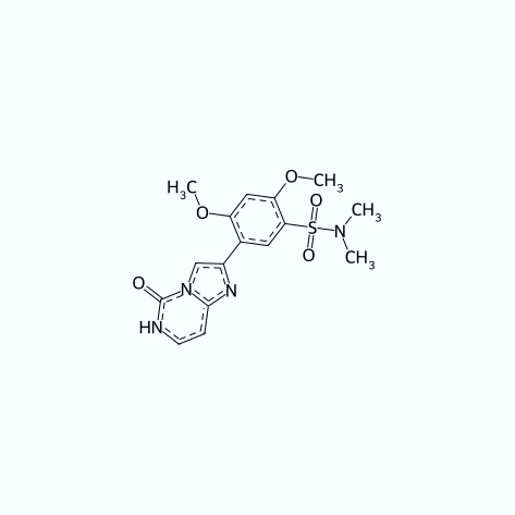 COc1cc(OC)c(S(=O)(=O)N(C)C)cc1-c1cn2c(=O)[nH]ccc2n1